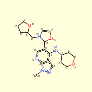 CCn1ncc2c(NC3CCOCC3)c(C3OC=CN3CC3CCCO3)cnc21